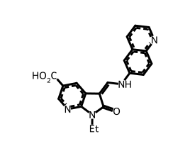 CCN1C(=O)C(=CNc2ccc3ncccc3c2)c2cc(C(=O)O)cnc21